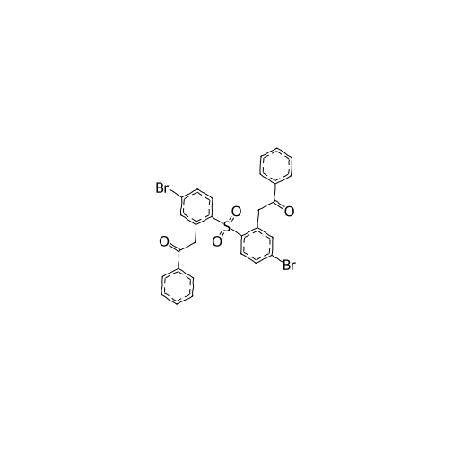 O=C(Cc1cc(Br)ccc1S(=O)(=O)c1ccc(Br)cc1CC(=O)c1ccccc1)c1ccccc1